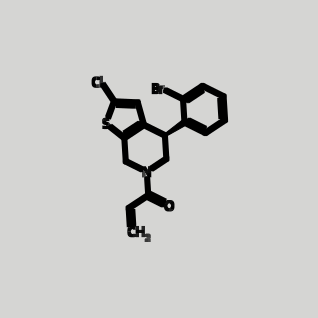 C=CC(=O)N1Cc2sc(Cl)cc2[C@@H](c2ccccc2Br)C1